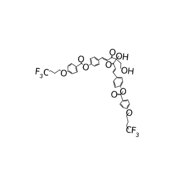 O=C(Oc1ccc(/C=C/C(=O)C(O)(CCO)C(=O)/C=C/c2ccc(OC(=O)c3ccc(OCCCC(F)(F)F)cc3)cc2)cc1)c1ccc(OCCCC(F)(F)F)cc1